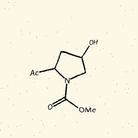 COC(=O)N1CC(O)CC1C(C)=O